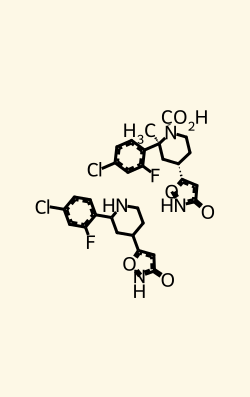 C[C@@]1(c2ccc(Cl)cc2F)C[C@@H](c2cc(=O)[nH]o2)CCN1C(=O)O.O=c1cc(C2CCNC(c3ccc(Cl)cc3F)C2)o[nH]1